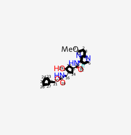 COc1ccc2ncc(F)c(NC(=O)[C@H]3C[C@H](CNC(=O)OCc4ccccc4)[C@H](O)C3)c2n1